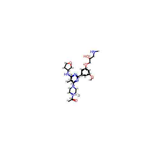 CNCC(O)COc1cc(OC)cc(-c2nc(NC3CCOC3)c(C)c(N3CCN(C(C)=O)[C@@H](C)C3)n2)c1